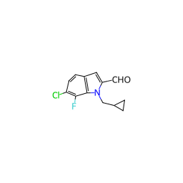 O=Cc1cc2ccc(Cl)c(F)c2n1CC1CC1